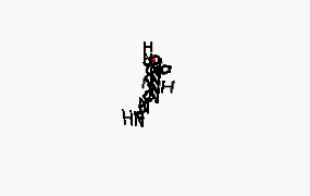 O=C1NCCC12Cc1cnc(Nc3ccc(N4CC5(CNC5)C4)cn3)nc1N(C1CCCC1)C2=O